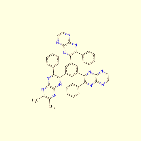 Cc1nc2nc(-c3ccccc3)c(-c3cc(-c4nc5nccnc5nc4-c4ccccc4)cc(-c4nc5nccnc5nc4-c4ccccc4)c3)nc2nc1C